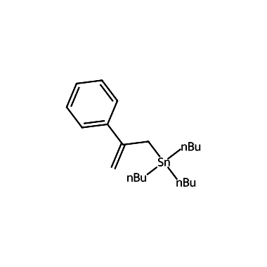 C=C([CH2][Sn]([CH2]CCC)([CH2]CCC)[CH2]CCC)c1ccccc1